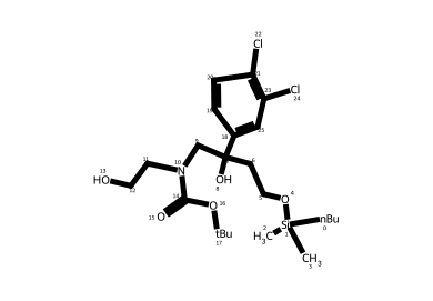 CCCC[Si](C)(C)OCCC(O)(CN(CCO)C(=O)OC(C)(C)C)c1ccc(Cl)c(Cl)c1